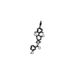 CC#Cc1cc(C)c(C2C(=O)CC3(CC2=O)CN(C(=O)c2cccc(OC)c2)C3)c(C)c1